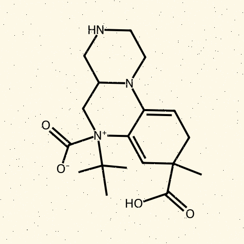 CC1(C(=O)O)C=C2C(=CC1)N1CCNCC1C[N+]2(C(=O)[O-])C(C)(C)C